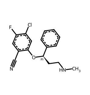 CNCC[C@@H](Oc1cc(Cl)c(F)cc1C#N)c1ccccc1